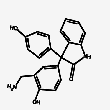 NCc1cc(C2(c3ccc(O)cc3)C(=O)Nc3ccccc32)ccc1O